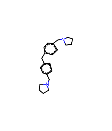 c1cc(CN2CCCC2)ccc1Cc1ccc(CN2CCCC2)cc1